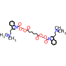 CN(C)CCc1cn(C(=O)OCOC(=O)CCCCC(=O)OCOC(=O)n2cc(CCN(C)C)c3ccccc32)c2ccccc12